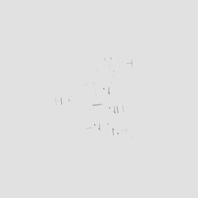 CCc1cccc(S(C)(=O)=O)c1NC(=O)NC(=N)N